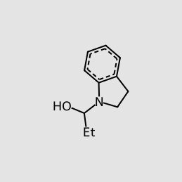 CCC(O)N1CCc2ccccc21